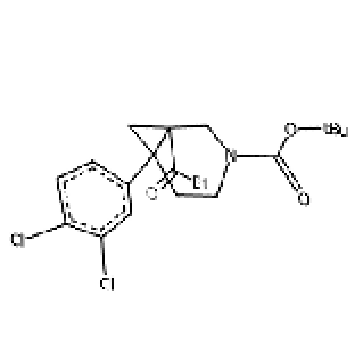 CCC(=O)C12CN(C(=O)OC(C)(C)C)CCC1(c1ccc(Cl)c(Cl)c1)C2